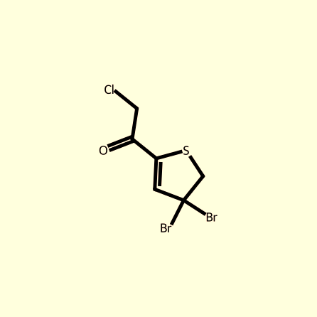 O=C(CCl)C1=CC(Br)(Br)CS1